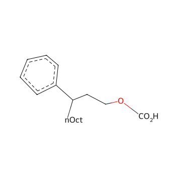 CCCCCCCCC(CCOC(=O)O)c1ccccc1